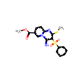 COC(=O)c1ccc2nc(SC)c(S(=O)(=O)c3ccccc3)c(=N)n2c1